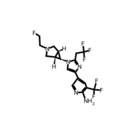 Nc1ncc(-c2cn([C@H]3[C@@H]4CN(CCF)C[C@@H]43)c(CC(F)(F)F)n2)cc1C(F)(F)F